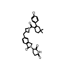 CC1(C)CCC(C(=O)N2CC(Cc3ccc4c(c3)CN(C3CCC(=O)NC3=O)C4=O)C2)=C(c2ccc(Cl)cc2)C1